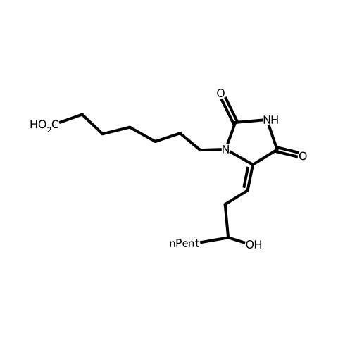 CCCCCC(O)CC=C1C(=O)NC(=O)N1CCCCCCC(=O)O